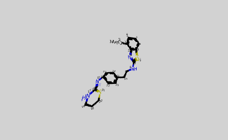 COc1cccc2sc(NCCc3ccc(/N=C4/NCCCS4)cc3)nc12